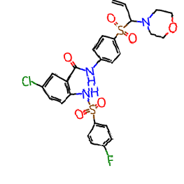 C=CC(N1CCOCC1)S(=O)(=O)c1ccc(NC(=O)c2cc(Cl)ccc2NS(=O)(=O)c2ccc(F)cc2)cc1